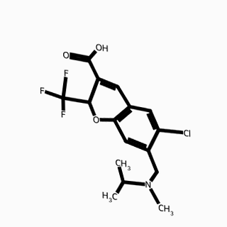 CC(C)N(C)Cc1cc2c(cc1Cl)C=C(C(=O)O)C(C(F)(F)F)O2